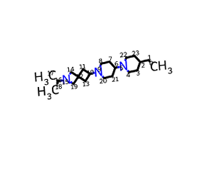 CCC1CCN(C2CCN(C3CC4(C3)CN(C(C)C)C4)CC2)CC1